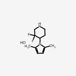 Cc1ccc(C)n1C1CCNCC1(F)F.Cl